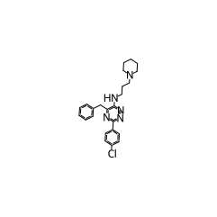 Clc1ccc(-c2nnc(NCCCN3CCCCC3)c(Cc3ccccc3)n2)cc1